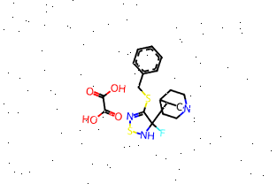 FC1(C2CN3CCC2CC3)NSN=C1SCc1ccccc1.O=C(O)C(=O)O